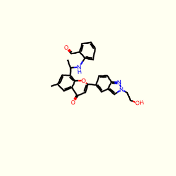 Cc1cc(C(C)Nc2ccccc2C=O)c2oc(-c3ccc4nn(CCO)cc4c3)cc(=O)c2c1